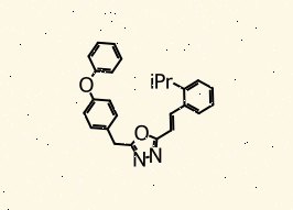 CC(C)c1ccccc1/C=C/c1nnc(Cc2ccc(Oc3ccccc3)cc2)o1